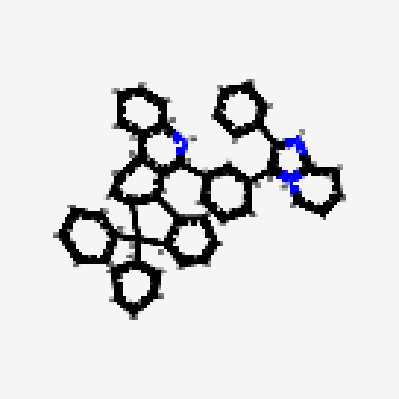 c1ccc(-c2nc3ccccn3c2-c2cccc(-c3nc4ccccc4c4ccc5c(c34)-c3ccccc3C5(c3ccccc3)c3ccccc3)c2)cc1